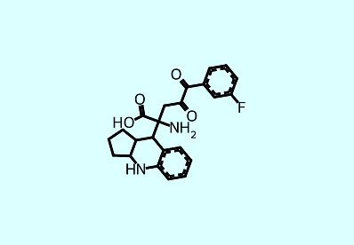 NC(CC(=O)C(=O)c1cccc(F)c1)(C(=O)O)C1c2ccccc2NC2CCCC21